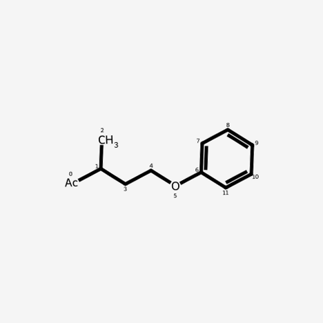 CC(=O)C(C)CCOc1ccccc1